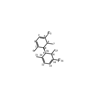 CC1=CC=C(F)C(C)C1[C@@H]1C(C)=CC=C(F)C1C